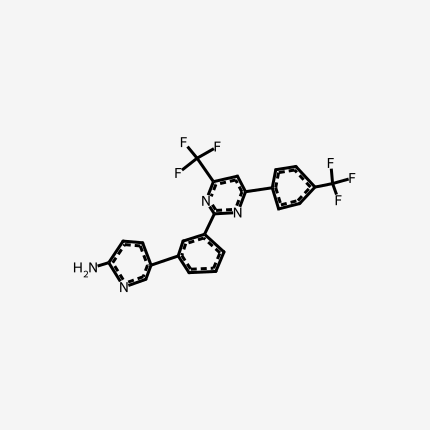 Nc1ccc(-c2cccc(-c3nc(-c4ccc(C(F)(F)F)cc4)cc(C(F)(F)F)n3)c2)cn1